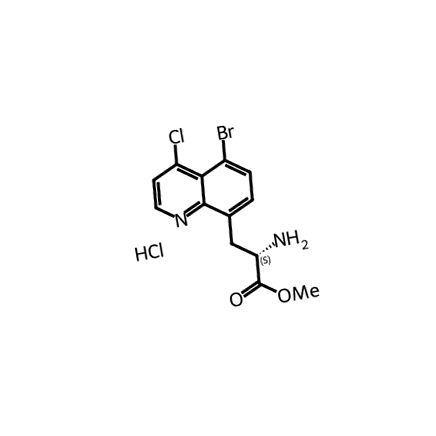 COC(=O)[C@@H](N)Cc1ccc(Br)c2c(Cl)ccnc12.Cl